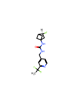 CC(F)(F)c1cc(CNC(=O)NC23CC(C2)[C@@H](F)C3)ccn1